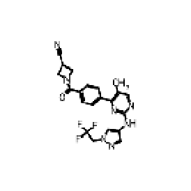 Cc1cnc(Nc2cnn(CC(F)(F)F)c2)nc1-c1ccc(C(=O)N2CC(C#N)C2)cc1